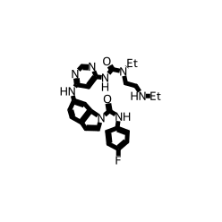 CCNCCN(CC)C(=O)Nc1cc(Nc2ccc3ccn(C(=O)Nc4ccc(F)cc4)c3c2)ncn1